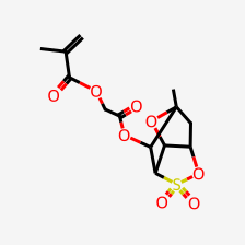 C=C(C)C(=O)OCC(=O)OC1C2C3OC1(C)CC3OS2(=O)=O